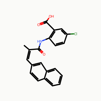 CC(=Cc1ccc2ccccc2c1)C(=O)Nc1ccc(Cl)cc1C(=O)O